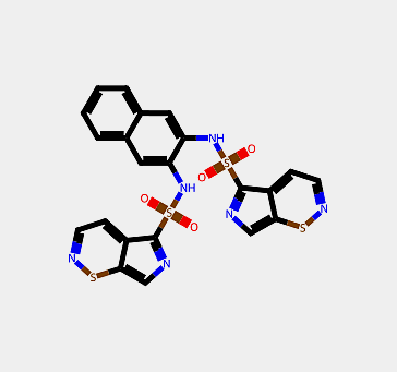 O=S(=O)(Nc1cc2ccccc2cc1NS(=O)(=O)c1ncc2snccc1-2)c1ncc2snccc1-2